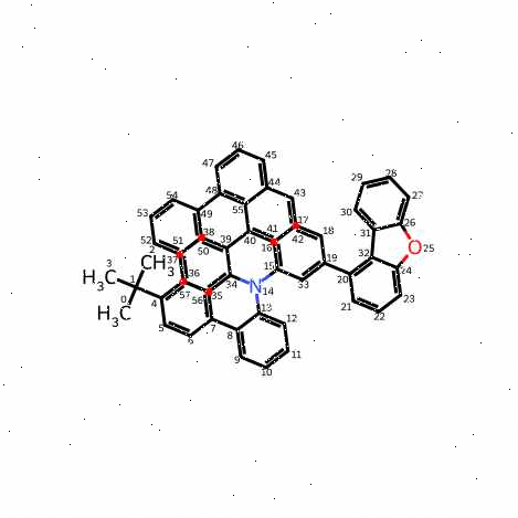 CC(C)(C)c1ccc(-c2ccccc2N(c2cccc(-c3cccc4oc5ccccc5c34)c2)c2ccccc2-c2cccc3cccc(-c4ccccc4)c23)cc1